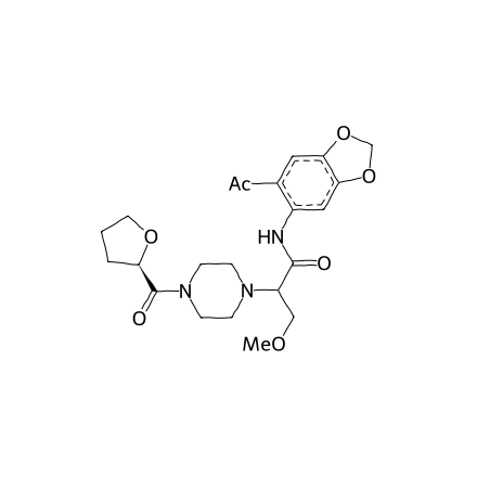 COCC(C(=O)Nc1cc2c(cc1C(C)=O)OCO2)N1CCN(C(=O)[C@H]2CCCO2)CC1